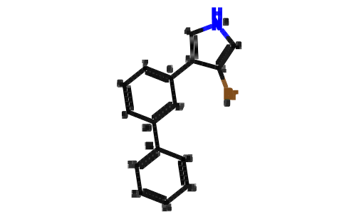 Brc1c[nH]cc1-c1cccc(-c2ccccc2)c1